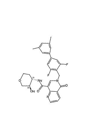 Cc1cc(C)cc(-c2cc(F)c(Cn3cc(C(=O)N[C@H]4CCOC[C@@H]4O)c4ncccc4c3=O)c(F)c2)c1